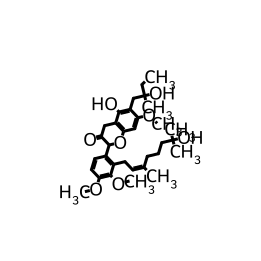 CCC(C)(O)Cc1c(OC)cc2c(c1O)CC(=O)C(c1ccc(OC)c(OC)c1CC=C(C)CCCC(C)(C)O)O2